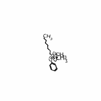 CCCCCCCC[Si](OC)(OC)Oc1ccccc1